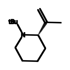 C=C(C)[C@@H]1CCCCN1C(C)(C)C